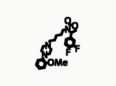 COc1ccccc1N1CCN(CCCCCN2C(=O)OCC2c2ccc(F)c(F)c2)CC1